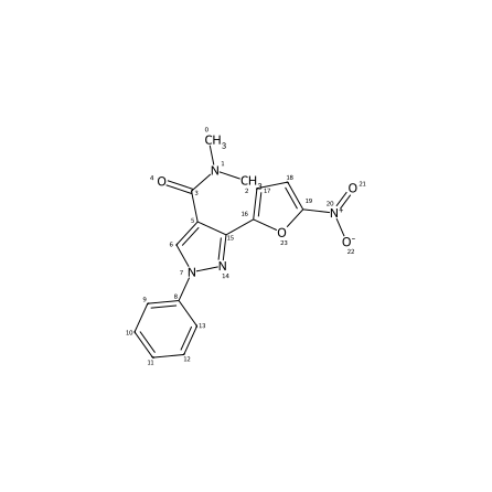 CN(C)C(=O)c1cn(-c2ccccc2)nc1-c1ccc([N+](=O)[O-])o1